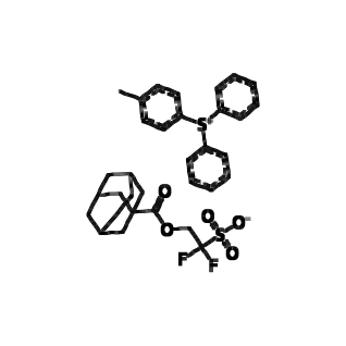 Cc1ccc([S+](c2ccccc2)c2ccccc2)cc1.O=C(OCC(F)(F)S(=O)(=O)[O-])C12CC3CC(CC(C3)C1)C2